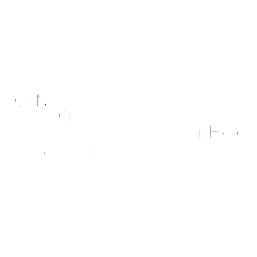 CCCCCCCCCCCC(=O)O[N+](=O)[O-]